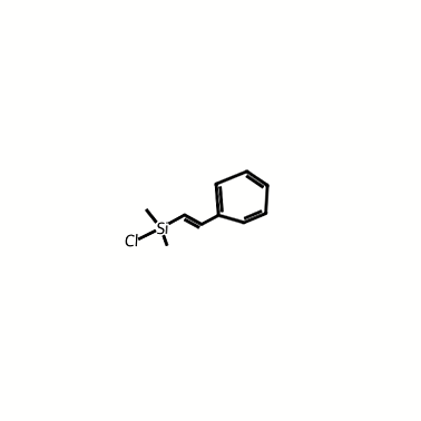 C[Si](C)(Cl)C=Cc1ccccc1